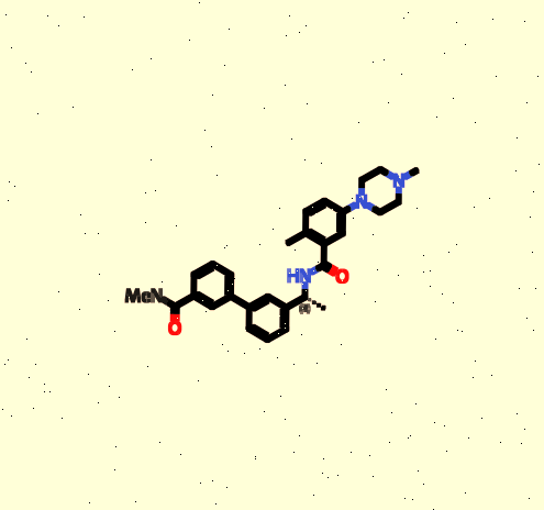 CNC(=O)c1cccc(-c2cccc([C@@H](C)NC(=O)c3cc(N4CCN(C)CC4)ccc3C)c2)c1